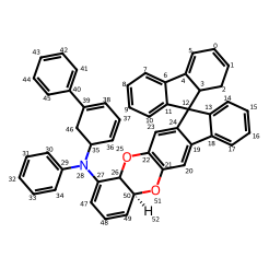 C1=CCC2C(=C1)c1ccccc1C21c2ccccc2-c2cc3c(cc21)OC1C(N(c2ccccc2)C2C=CC=C(c4ccccc4)C2)=CC=C[C@@H]1O3